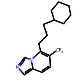 FC(F)(F)c1ccc2cncn2c1CCCC1CCCCC1